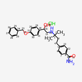 CC(C)(CCc1ccc(C(N)=O)cc1)NCC(O)c1ccc(OCc2ccccc2)cc1.Cl